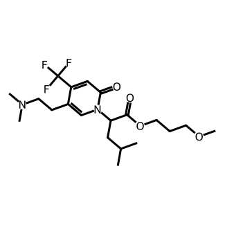 COCCCOC(=O)C(CC(C)C)n1cc(CCN(C)C)c(C(F)(F)F)cc1=O